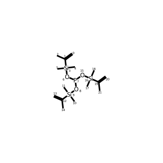 C=C(C)[Si](C)(C)OP(O[Si](C)(C)C(=C)C)O[Si](C)(C)C(=C)C